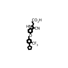 N#Cc1c(CCC(=O)O)[nH]c2ccc(OCc3ccc(C4CCCC4)c(C(F)(F)F)c3)cc12